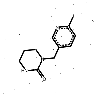 O=C1NCCCN1Cc1ccc(I)nc1